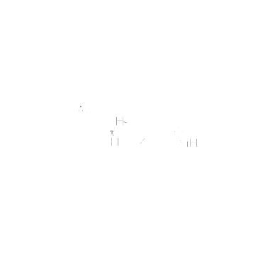 CC(=O)[C@H]1CC[C@H]2C3=CC=C4C[C@@H](O[SiH3])CC[C@]4(C)[C@H]3CC[C@]12C